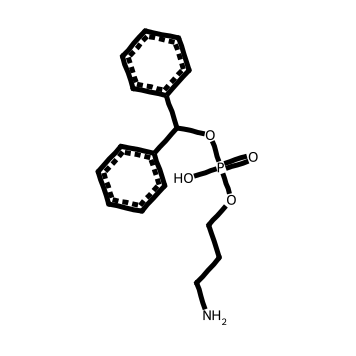 NCCCOP(=O)(O)OC(c1ccccc1)c1ccccc1